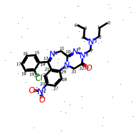 CCCN(CCC)CN1N=C2CN=C(c3ccccc3Cl)c3cc([N+](=O)[O-])ccc3N2CC1=O